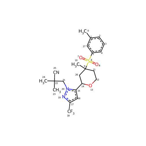 Cc1cccc(S(=O)(=O)C2(C)CCOC(c3cc(C(F)(F)F)nn3CC(C)(C)C#N)C2)c1